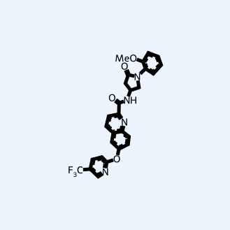 COc1ccccc1N1CC(NC(=O)c2ccc3cc(Oc4ccc(C(F)(F)F)cn4)ccc3n2)CC1=O